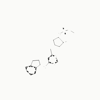 COS(=O)(=O)N[C@H]1C[C@@H](Cc2cc(N[C@H]3CCc4ccccc43)ncn2)C[C@@H]1O